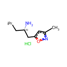 Cc1cc(C[C@@H](N)CC(C)C)on1.Cl